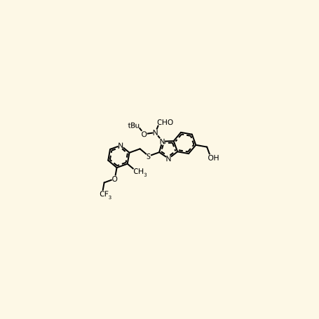 Cc1c(OCC(F)(F)F)ccnc1CSc1nc2cc(CO)ccc2n1N(C=O)OC(C)(C)C